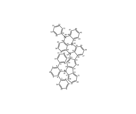 c1ccc(-c2cccc(-c3ccccc3)c2-n2c3ccccc3c3cc4c5cccc6c5n(c4cc32)-c2cccc3c2B6c2ccccc2N3c2ccccc2)cc1